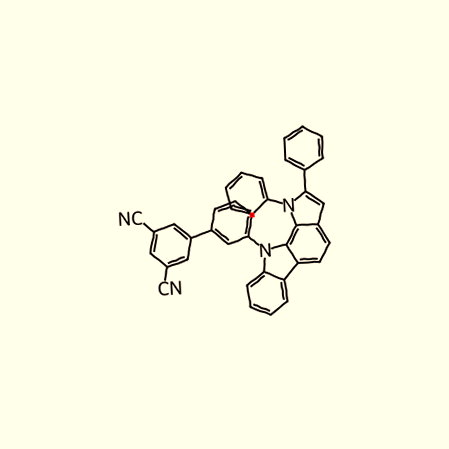 N#Cc1cc(C#N)cc(-c2cccc(-n3c4ccccc4c4ccc5cc(-c6ccccc6)n(-c6ccccc6)c5c43)c2)c1